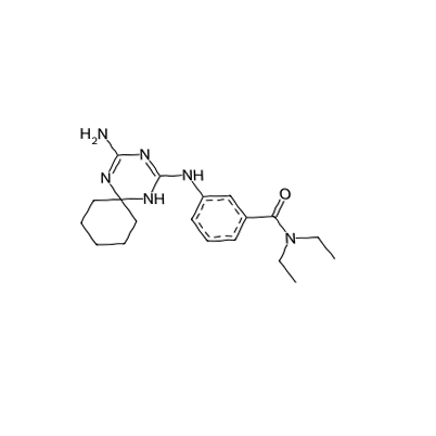 CCN(CC)C(=O)c1cccc(NC2=NC(N)=NC3(CCCCC3)N2)c1